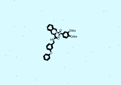 COc1ccc(S(=O)(=O)N2Cc3ccccc3CC2C(=O)NCc2cccc(Oc3ccccc3)c2)cc1OC